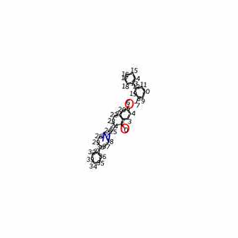 O=C1c2ccc(OCc3cccc(-c4ccccc4)c3)cc2CCC1CCN1CCC(c2ccccc2)CC1